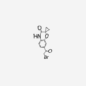 O=C(CBr)c1ccc2c(c1)OC1(CC1)C(=O)N2